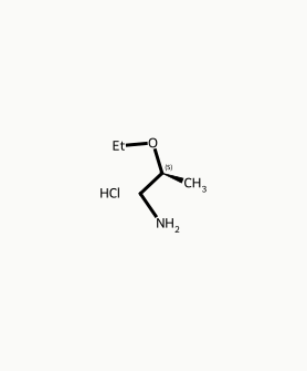 CCO[C@@H](C)CN.Cl